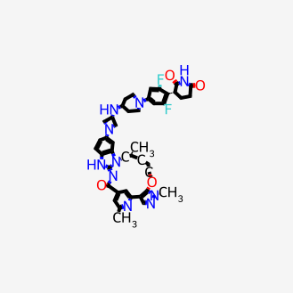 Cc1cc2cc(n1)-c1cnn(C)c1OCCC[C@@H](C)CN1/C(=N/C2=O)Nc2ccc(N3CC(NC4CCN(c5cc(F)c([C@H]6CCC(=O)NC6=O)c(F)c5)CC4)C3)cc21